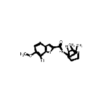 COc1ccc2cc(C(=O)N[C@H]3C4CCN(CC4)C3(C)C)sc2c1Cl